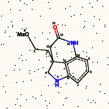 COCCC12CNc3cccc(c31)NC(=O)C2